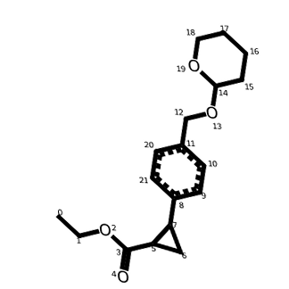 CCOC(=O)C1CC1c1ccc(COC2CCCCO2)cc1